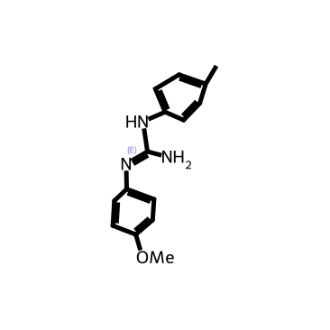 COc1ccc(/N=C(\N)Nc2ccc(C)cc2)cc1